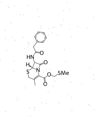 CSCOC(=O)C1=C(C)CS[C@@H]2C(NC(=O)Cc3ccccc3)C(=O)N12